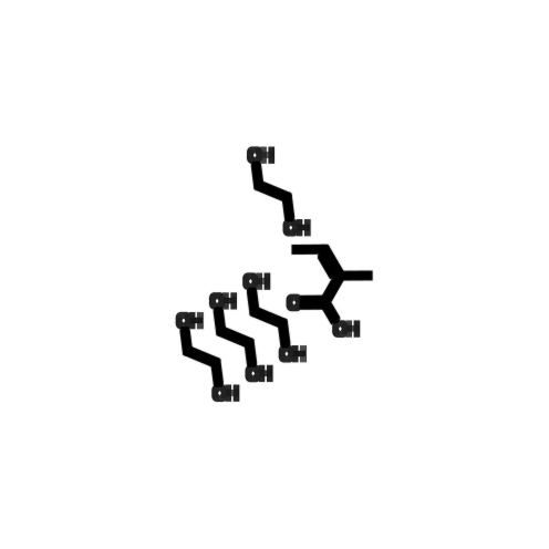 CC=C(C)C(=O)O.OCCO.OCCO.OCCO.OCCO